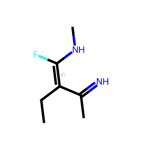 CC/C(C(C)=N)=C(\F)NC